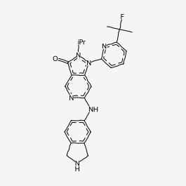 CC(C)n1c(=O)c2cnc(Nc3ccc4c(c3)CNC4)cc2n1-c1cccc(C(C)(C)F)n1